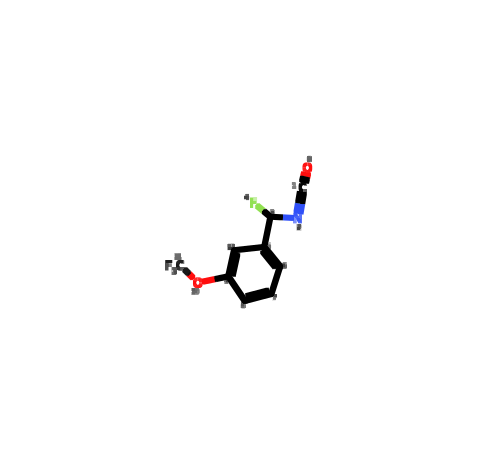 O=C=NC(F)c1cccc(OC(F)(F)F)c1